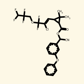 CC1(C)C(C=C(Cl)C(F)(F)OCC(F)(F)C(F)F)C1C(=O)OC(C#N)c1cccc(Oc2ccccc2)c1